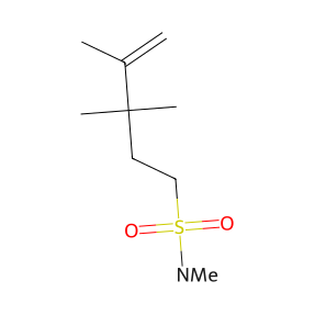 C=C(C)C(C)(C)CCS(=O)(=O)NC